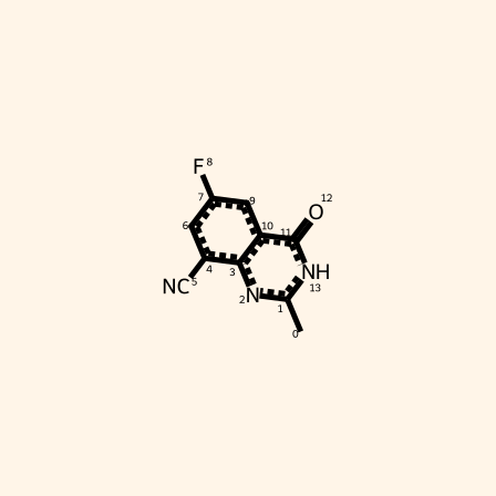 Cc1nc2c(C#N)cc(F)cc2c(=O)[nH]1